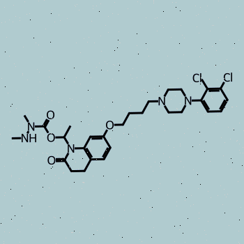 CNN(C)C(=O)OC(C)N1C(=O)CCc2ccc(OCCCCN3CCN(c4cccc(Cl)c4Cl)CC3)cc21